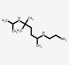 CC(C)NC(C)(C)CCC(C)NCCN